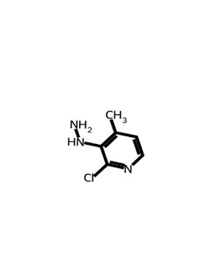 Cc1ccnc(Cl)c1NN